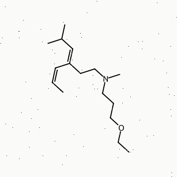 C/C=C\C(=C/C(C)C)CCN(C)CCCOCC